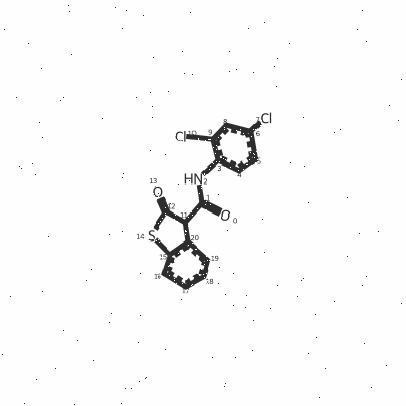 O=C(Nc1ccc(Cl)cc1Cl)C1C(=O)Sc2ccccc21